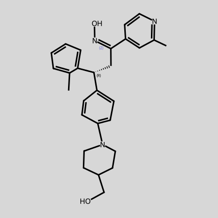 Cc1cc(/C(C[C@H](c2ccc(N3CCC(CO)CC3)cc2)c2ccccc2C)=N\O)ccn1